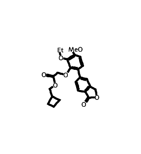 CCOc1c(OC)ccc(-c2ccc3c(c2)COC3=O)c1OCC(=O)OCC1CCC1